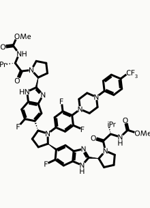 COC(=O)N[C@H](C(=O)N1CCC[C@H]1c1nc2cc([C@H]3CC[C@H](c4cc5nc([C@@H]6CCCN6C(=O)[C@@H](NC(=O)OC)C(C)C)[nH]c5cc4F)N3c3cc(F)c(N4CCN(c5ccc(C(F)(F)F)cc5)CC4)c(F)c3)c(F)cc2[nH]1)C(C)C